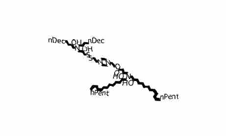 CCCCC/C=C\C/C=C\CCCCCC[C@@H](O)CN(CCCC(=O)OCCN1CCN(CCSSCCCN(CC(O)CCCCCCCCCCCC)CC(O)CCCCCCCCCCCC)CC1)C[C@H](O)CCCCCC/C=C\C/C=C\CCCCC